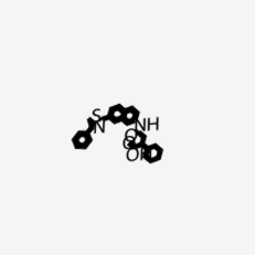 O=C(CC(C(=O)O)C1CCCCC1)Nc1ccc2ccc(-c3nc(-c4ccccc4)cs3)cc2c1